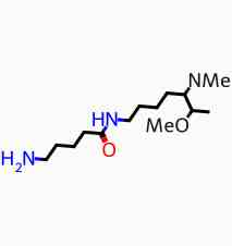 CNC(CCCCNC(=O)CCCCN)C(C)OC